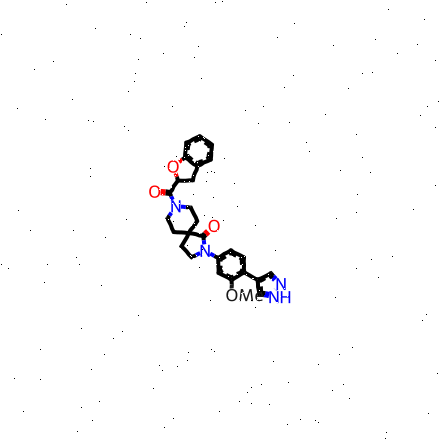 COc1cc(N2CCC3(CCN(C(=O)C4Cc5ccccc5O4)CC3)C2=O)ccc1-c1cn[nH]c1